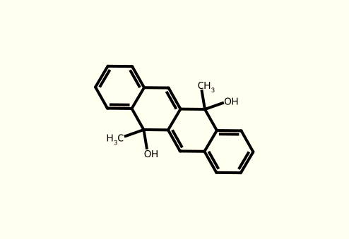 CC1(O)C2=Cc3ccccc3C(C)(O)C2=Cc2ccccc21